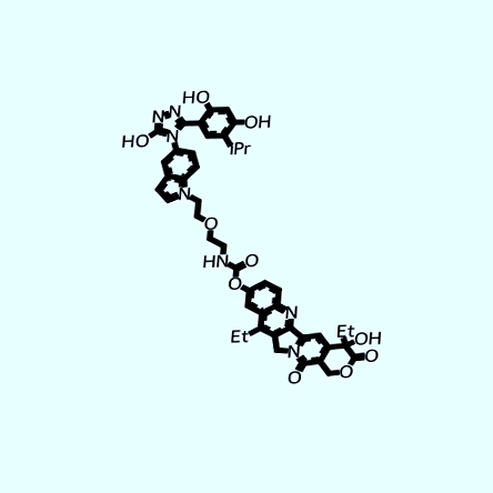 CCc1c2c(nc3ccc(OC(=O)NCCOCCn4ccc5cc(-n6c(O)nnc6-c6cc(C(C)C)c(O)cc6O)ccc54)cc13)-c1cc3c(c(=O)n1C2)COC(=O)C3(O)CC